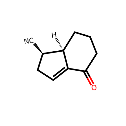 N#C[C@@H]1CC=C2C(=O)CCC[C@@H]21